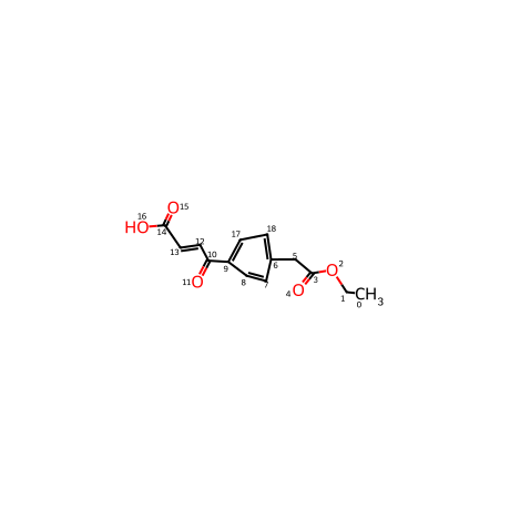 CCOC(=O)Cc1ccc(C(=O)C=CC(=O)O)cc1